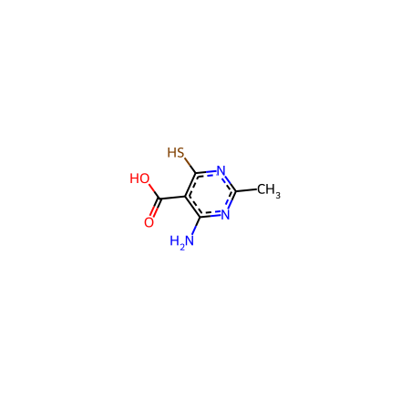 Cc1nc(N)c(C(=O)O)c(S)n1